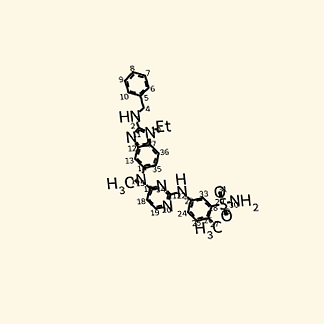 CCn1c(NCc2ccccc2)nc2cc(N(C)c3ccnc(Nc4ccc(C)c(S(N)(=O)=O)c4)n3)ccc21